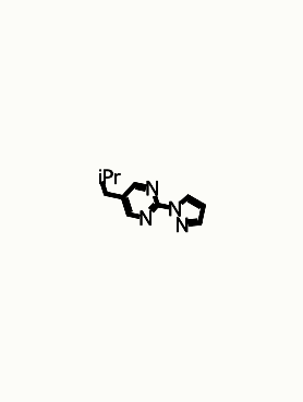 CC(C)Cc1cnc(-n2cccn2)nc1